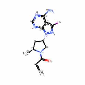 C=CC(=O)N1C[C@@H](n2nc(I)c3c(N)ncnc32)C[C@@H]1C